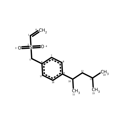 C=CS(=O)(=O)Cc1ccc(C(C)CC(C)C)cc1